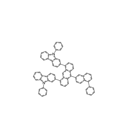 c1ccc(-c2cccc3cc(-c4c5cccc(-c6ccc7c8ccccc8n(-c8ccccc8)c7c6)c5cc5c(-c6ccc7c8ccccc8n(-c8ccccc8)c7c6)cccc45)ccc23)cc1